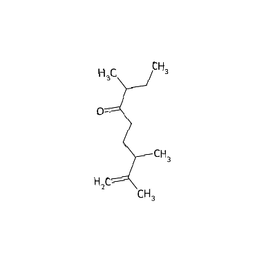 C=C(C)C(C)CCC(=O)C(C)CC